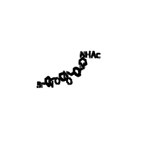 CC(=O)NC1CCN(Cc2ccc(CCn3ccc(OCc4ccc(Br)cn4)cc3=O)cc2)CC1